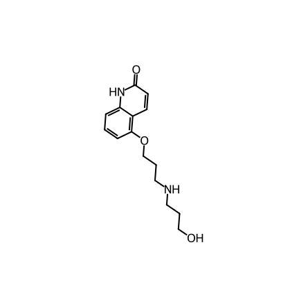 O=c1ccc2c(OCCCNCCCO)cccc2[nH]1